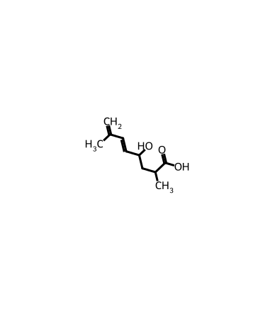 C=C(C)C=CC(O)CC(C)C(=O)O